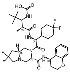 C[C@H](C(=O)N[C@H](C(=O)N1C[C@H]2CC(F)(F)CN2C[C@H]1C(=O)N[C@@H]1CCOc2ccccc21)C1CCC(F)(F)CC1)C(NC(=O)O)C(C)(C)C